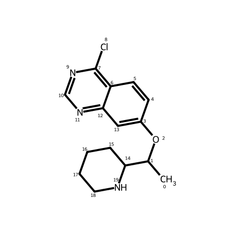 CC(Oc1ccc2c(Cl)ncnc2c1)C1CCCCN1